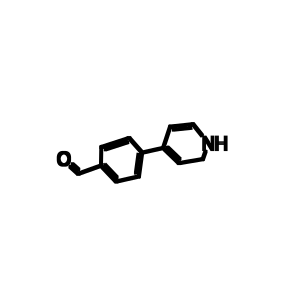 O=Cc1ccc(C2=CCNC=C2)cc1